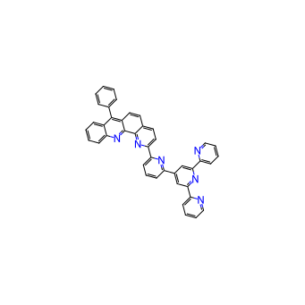 c1ccc(-c2c3ccccc3nc3c2ccc2ccc(-c4cccc(-c5cc(-c6ccccn6)nc(-c6ccccn6)c5)n4)nc23)cc1